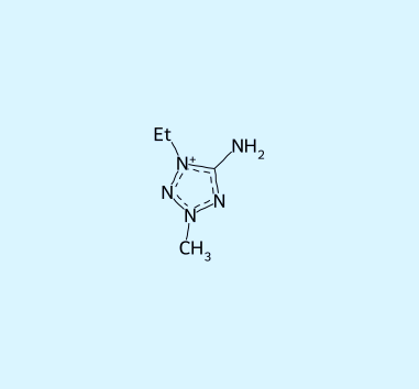 CC[n+]1nn(C)nc1N